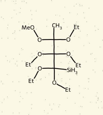 CCOC(C)(OOC)C(OCC)(OCC)C([SiH3])(OCC)OCC